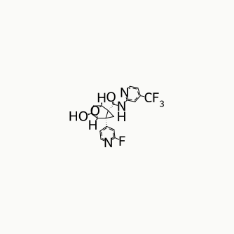 O=C(Nc1cc(C(F)(F)F)ccn1)[C@]12C[C@@]1(c1ccnc(F)c1)[C@H]1O[C@@H]2C[C@@H]1O